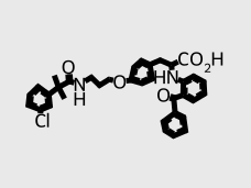 CC(C)(C(=O)NCCCOc1ccc(CC(Nc2ccccc2C(=O)c2ccccc2)C(=O)O)cc1)c1cccc(Cl)c1